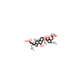 C[C@@H]1CC[C@H]2[C@@H](C)C(O[C@@H]3CC[C@@]4(C)C(C3)C[C@H](O)C3C4CC[C@@]4(C)C3CC[C@@H]4[C@H](C)CCC(=O)O)OC3O[C@@](C)(O)CCC1[C@]32O